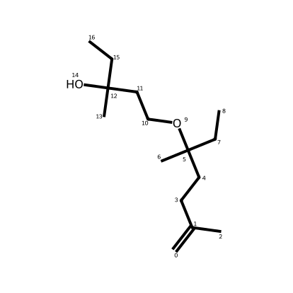 C=C(C)CCC(C)(CC)OCCC(C)(O)CC